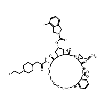 C=C[C@@H]1C[C@@]12NC(=O)[C@@H]1C[C@@H](OC(=O)N3Cc4cccc(F)c4C3)CN1C(=O)[C@@H](NC(=O)CC1CCN(CCF)CC1)CCCCCCCNc1ccccc1S(=O)(=O)NC2=O